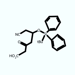 CC(C)(C)[Si](OC(CC#N)CC(=O)CC(=O)O)(c1ccccc1)c1ccccc1